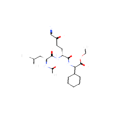 CCOC(=O)C(NC(=O)[C@H](CCC(=O)C=N)NC(=O)[C@H](CC(C)C)NC(C)=O)C1CCCCC1